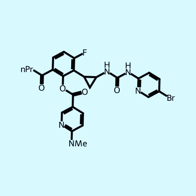 CCCC(=O)c1ccc(F)c(C2CC2NC(=O)Nc2ccc(Br)cn2)c1OC(=O)c1ccc(NC)nc1